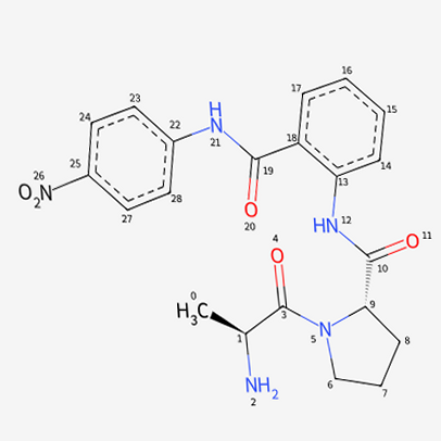 C[C@H](N)C(=O)N1CCC[C@H]1C(=O)Nc1ccccc1C(=O)Nc1ccc([N+](=O)[O-])cc1